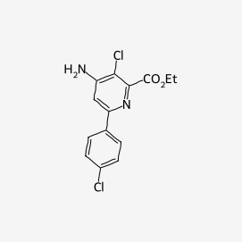 CCOC(=O)c1nc(-c2ccc(Cl)cc2)cc(N)c1Cl